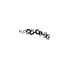 Cc1ccc2nc(-c3cnc4cc(-c5nc6scnc6s5)oc4c3)ccc2n1